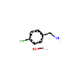 CO.NCc1ccc(Cl)cc1